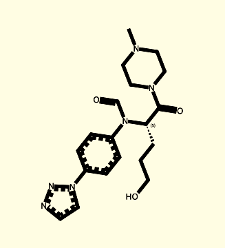 CN1CCN(C(=O)[C@H](CCCO)N(C=O)c2ccc(-n3ccnn3)cc2)CC1